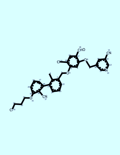 Cc1c(COc2cc(OCc3cncc(C#N)c3)c(C=O)cc2Cl)cccc1-c1cccc(OCCCCl)c1C#N